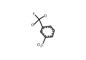 FC(Cl)(Cl)c1cccc(C(Cl)(Cl)Cl)c1